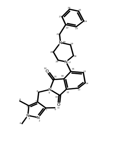 Cc1nn(C)c(C)c1CN1C(=O)c2cccc(N3CCN(Cc4ccccc4)CC3)c2C1=O